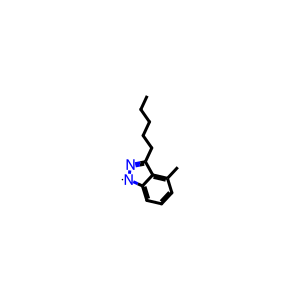 CCCCCC1=N[N]c2cccc(C)c21